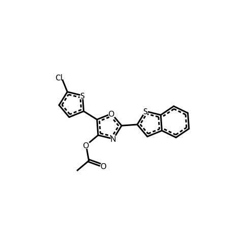 CC(=O)Oc1nc(-c2cc3ccccc3s2)oc1-c1ccc(Cl)s1